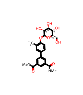 CNC(=O)c1cc(C(=O)NC)cc(-c2ccc(OC3O[C@@H](CO)[C@@H](O)[C@H](O)[C@H]3O)c(C(F)(F)F)c2)c1